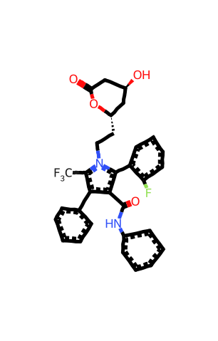 O=C1C[C@@H](O)C[C@H](CCn2c(-c3ccccc3F)c(C(=O)Nc3ccccc3)c(-c3ccccc3)c2C(F)(F)F)O1